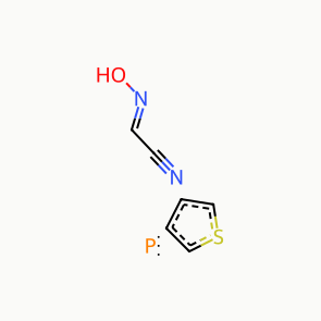 N#CC=NO.[P].c1ccsc1